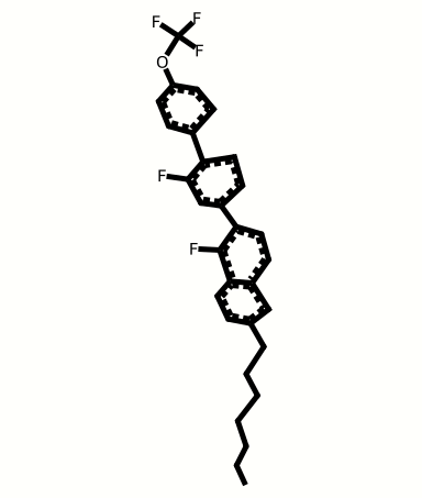 CCCCCCCc1ccc2c(F)c(-c3ccc(-c4ccc(OC(F)(F)F)cc4)c(F)c3)ccc2c1